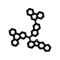 c1ccc2cc3c(cc2c1)oc1c(N(c2ccc4ccc(-c5cc6ccccc6c6ccccc56)cc4c2)c2ccc4c5ccccc5c5ccccc5c4c2)cccc13